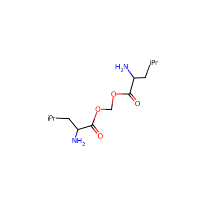 CC(C)CC(N)C(=O)OCOC(=O)C(N)CC(C)C